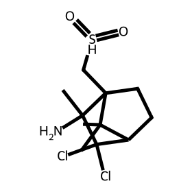 CC1(C)C2CCC1(C[SH](=O)=O)C(C)(N)C2(Cl)Cl